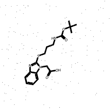 CC(C)(C)OC(=O)NCCCSc1nc2ccccc2n1CC(=O)O